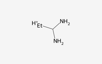 CCC(N)N.[H+]